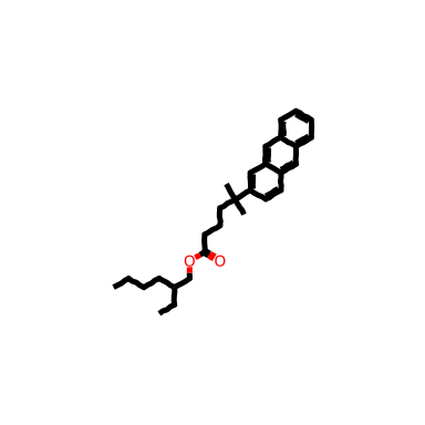 CCCCC(CC)COC(=O)CCCC(C)(C)c1ccc2cc3ccccc3cc2c1